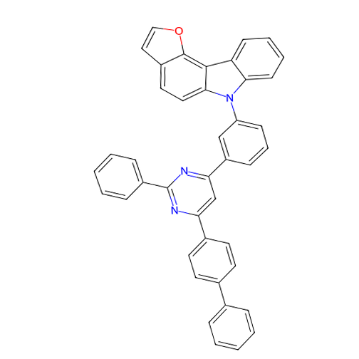 c1ccc(-c2ccc(-c3cc(-c4cccc(-n5c6ccccc6c6c7occc7ccc65)c4)nc(-c4ccccc4)n3)cc2)cc1